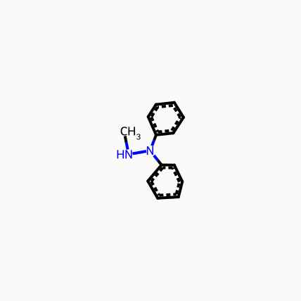 CNN(c1ccccc1)c1ccccc1